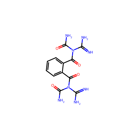 N=C(N)N(C(N)=O)C(=O)c1ccccc1C(=O)N(C(=N)N)C(N)=O